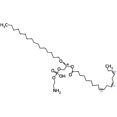 CC/C=C\C/C=C\C/C=C\CCCCCCCC(=O)O[C@H](COCCCCCCCCCCCCCCCC)COP(=O)(O)OCCN